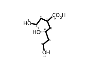 O=C(O)C(CCO)C[C@@H](O)CCO